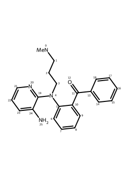 CNCCCN(c1ccccc1C(=O)c1ccccc1)c1ncccc1N